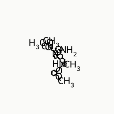 CCOc1ccccc1OCCN[C@H](C)Cc1cc(C(N)=O)c2c(ccn2CCCOC(=O)C(C)(C)C)c1